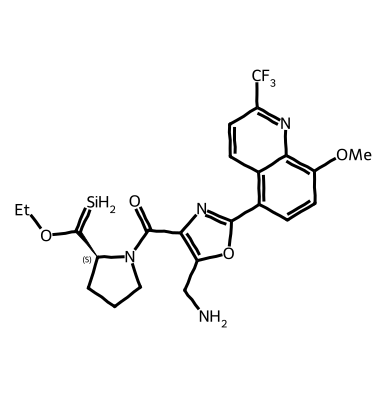 CCOC(=[SiH2])[C@@H]1CCCN1C(=O)c1nc(-c2ccc(OC)c3nc(C(F)(F)F)ccc23)oc1CN